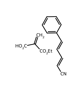 C=C(C(=O)O)C(=O)OCC.N#CC=CC=Cc1ccccc1